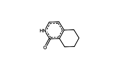 O=c1[nH]ccc2c1CCCC2